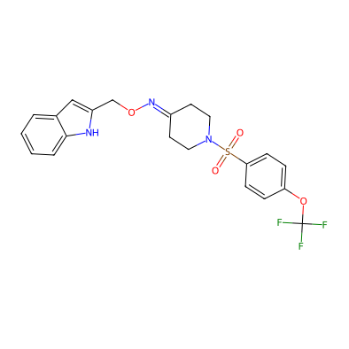 O=S(=O)(c1ccc(OC(F)(F)F)cc1)N1CCC(=NOCc2cc3ccccc3[nH]2)CC1